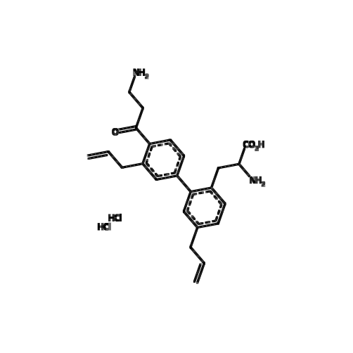 C=CCc1ccc(CC(N)C(=O)O)c(-c2ccc(C(=O)CCN)c(CC=C)c2)c1.Cl.Cl